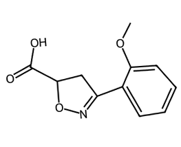 COc1ccccc1C1=NOC(C(=O)O)C1